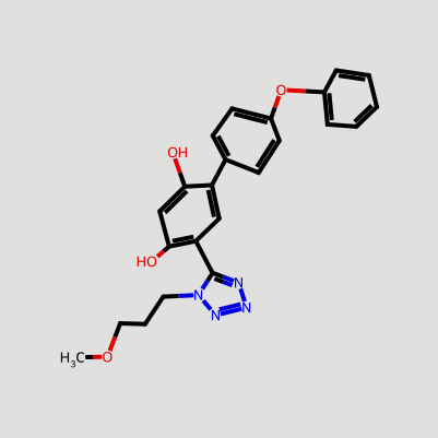 COCCCn1nnnc1-c1cc(-c2ccc(Oc3ccccc3)cc2)c(O)cc1O